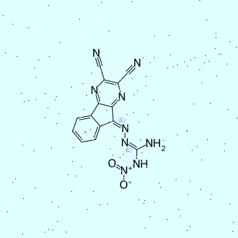 N#Cc1nc2c(nc1C#N)-c1ccccc1/C2=N\N=C(/N)N[N+](=O)[O-]